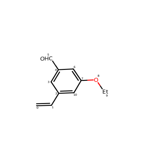 C=Cc1cc(C=O)cc(OCC)c1